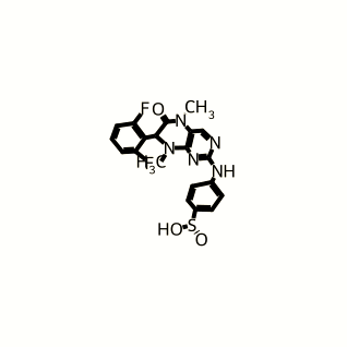 CN1C(=O)C(c2c(F)cccc2F)N(C)c2nc(Nc3ccc(S(=O)O)cc3)ncc21